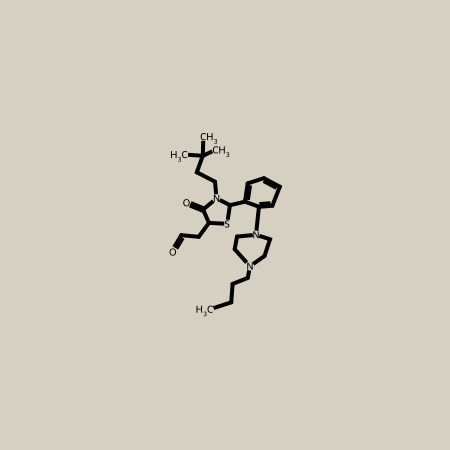 CCCCN1CCN(c2ccccc2C2SC(CC=O)C(=O)N2CCC(C)(C)C)CC1